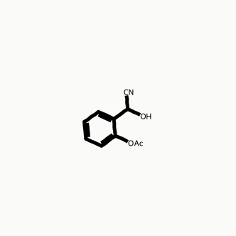 CC(=O)Oc1ccccc1C(O)C#N